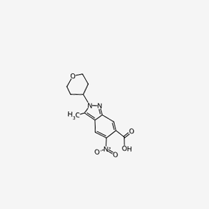 Cc1c2cc([N+](=O)[O-])c(C(=O)O)cc2nn1C1CCOCC1